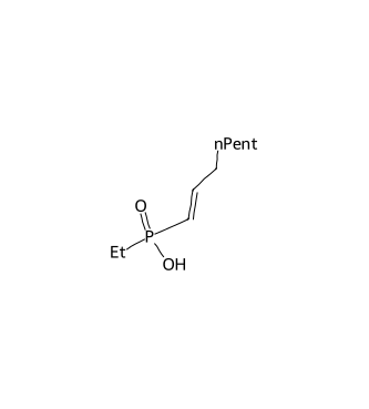 CCCCCCC=CP(=O)(O)CC